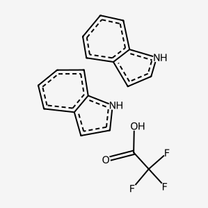 O=C(O)C(F)(F)F.c1ccc2[nH]ccc2c1.c1ccc2[nH]ccc2c1